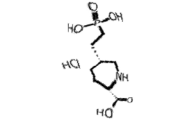 Cl.O=C(O)[C@@H]1CC[C@H](CCP(=O)(O)O)CN1